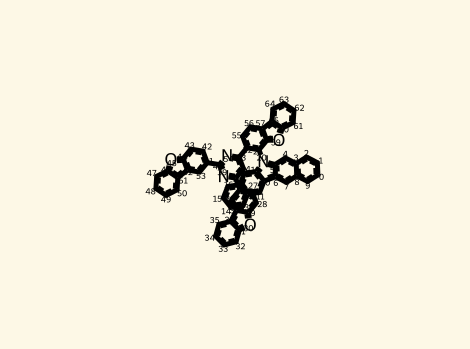 c1ccc2cc3c(cc2c1)c1cc2ccccc2cc1n3-c1c(-c2cc(-c3ccc4oc5ccccc5c4c3)nc(-c3ccc4oc5ccccc5c4c3)n2)ccc2c1oc1ccccc12